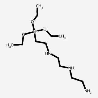 CCO[N+](CCNCCNCCN)(OCC)OCC